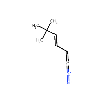 CC(C)(C)C=CC=C=[N+]=[N-]